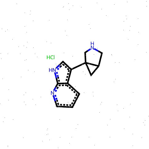 Cl.c1cnc2[nH]cc(C34CNCC3C4)c2c1